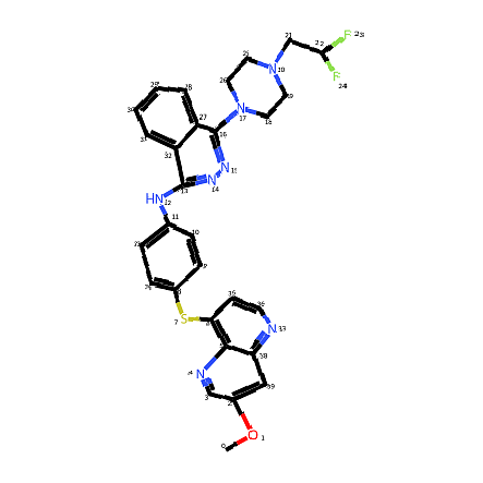 COc1cnc2c(Sc3ccc(Nc4nnc(N5CCN(CC(F)F)CC5)c5ccccc45)cc3)ccnc2c1